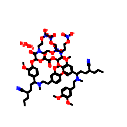 CCCC(C#N)CCC(c1ccc(OC(OC(=O)C(=O)OC(Oc2ccc(C(CCC(C#N)CCC)N(C)CCc3ccc(OC)c(OC)c3)cc2OC)C(=O)N(CCO[N+](=O)[O-])CCO[N+](=O)[O-])C(=O)N(CCO[N+](=O)[O-])CCO[N+](=O)[O-])c(OC)c1)N(C)CCc1ccc(OC)c(OC)c1.O.O